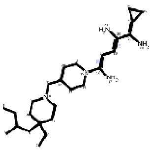 CCC(C)CC1(CC)CCN(CC2CCN(/C(N)=C/C=C(\N)C(N)=C3CC3)CC2)CC1